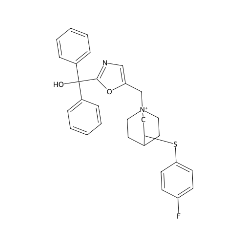 OC(c1ccccc1)(c1ccccc1)c1ncc(C[N+]23CCC(CC2)C(Sc2ccc(F)cc2)C3)o1